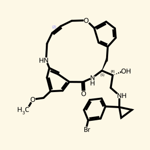 COCc1cc2cc(c1)C(=O)N[C@H]([C@H](O)CNC1(c3cccc(Br)c3)CC1)Cc1cccc(c1)OC/C=C\CN2